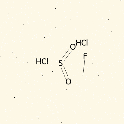 CF.Cl.Cl.O=S=O